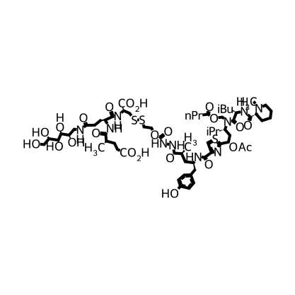 CCCC(=O)OCN(C(=O)[C@@H](NC(=O)[C@H]1CCCCN1C)C(C)CC)[C@H](C[C@@H](OC(C)=O)c1nc(C(=O)N[C@@H](Cc2ccc(O)cc2)C[C@H](C)C(=O)NNC(=O)OCCSSC[C@H](NC(=O)[C@H](CCC(=O)NC[C@H](O)[C@@H](O)[C@H](O)[C@H](O)CO)NC(=O)[C@@H](C)CCC(=O)O)C(=O)O)cs1)C(C)C